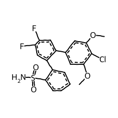 COc1cc(-c2cc(F)c(F)cc2-c2ccccc2S(N)(=O)=O)cc(OC)c1Cl